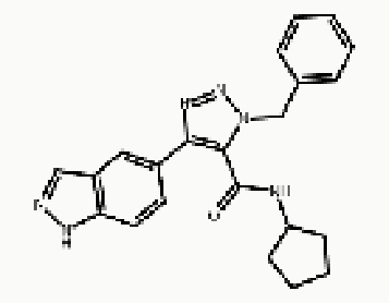 O=C(NC1CCCC1)c1c(-c2ccc3[nH]ncc3c2)nnn1Cc1ccccc1